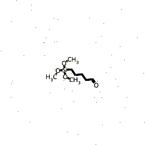 CO[Si](CCCCC=O)(OC)OC